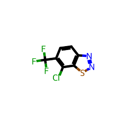 FC(F)(F)c1ccc2nnsc2c1Cl